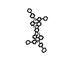 c1cc2c3cc4c(cc3n3c5cccc(N(c6ccc(C7CCCCC7)cc6)c6ccc(C7CCCCC7)cc6)c5c(c1)c23)c1cccc2c3c(N(c5ccc(C6CCCCC6)cc5)c5ccc(C6CCCCC6)cc5)cccc3n4c12